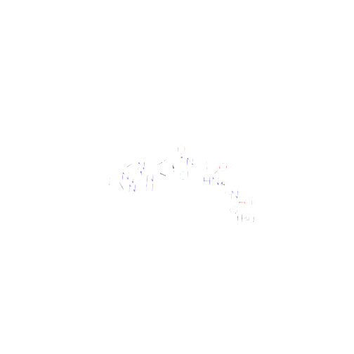 CC(C)(C)OC(=O)N1CC[C@@H](NC(=O)C2CCN(C(=O)c3ccc(Nc4nccn5c(I)cnc45)cc3Cl)CC2)C1